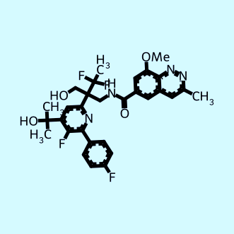 COc1cc(C(=O)NCC(CO)(c2cc(C(C)(C)O)c(F)c(-c3ccc(F)cc3)n2)C(C)(F)F)cc2cc(C)nnc12